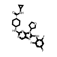 O=C(NC1CC1)[C@H]1CC[C@H](Nc2ncc3nc(Nc4c(F)cc(F)cc4F)n(C4CCOC4)c3n2)CC1